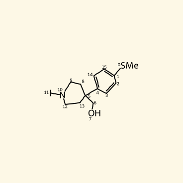 CSc1ccc(C2(CO)CCN(I)CC2)cc1